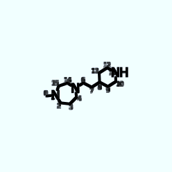 CN1CCCN(CCC2CCNCC2)CC1